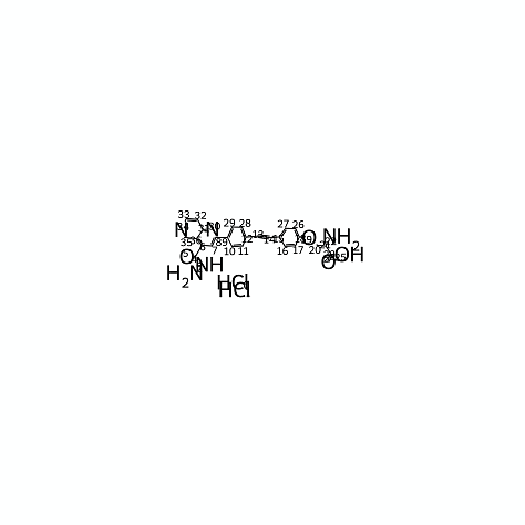 Cl.Cl.NNC(=O)c1cc(-c2ccc(C#Cc3ccc(OCC(N)C(=O)O)cc3)cc2)nc2ccncc12